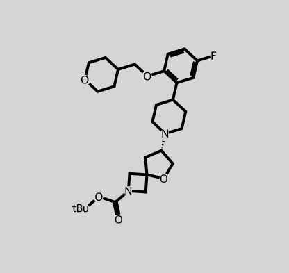 CC(C)(C)OC(=O)N1CC2(C[C@H](N3CCC(c4cc(F)ccc4OCC4CCOCC4)CC3)CO2)C1